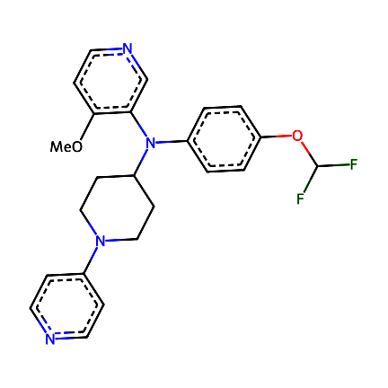 COc1ccncc1N(c1ccc(OC(F)F)cc1)C1CCN(c2ccncc2)CC1